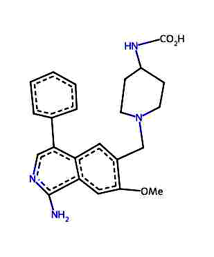 COc1cc2c(N)ncc(-c3ccccc3)c2cc1CN1CCC(NC(=O)O)CC1